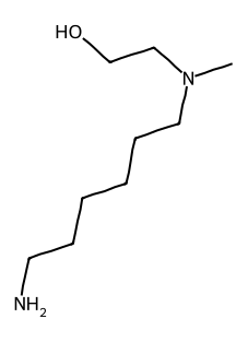 CN(CCO)CCCCCCN